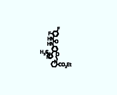 CCOC(=O)C1CCCCN1CCOc1ccc(NC(=O)Nc2ccc(F)cc2F)cc1-c1ccnn1C